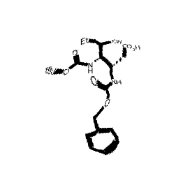 CCC(O)[C@@H](NC(=O)OC(C)(C)C)[C@H](CC(=O)O)NC(=O)OCc1ccccc1